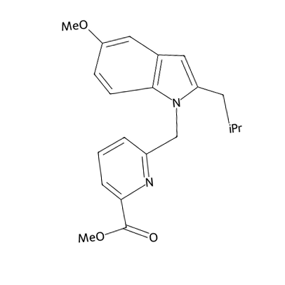 COC(=O)c1cccc(Cn2c(CC(C)C)cc3cc(OC)ccc32)n1